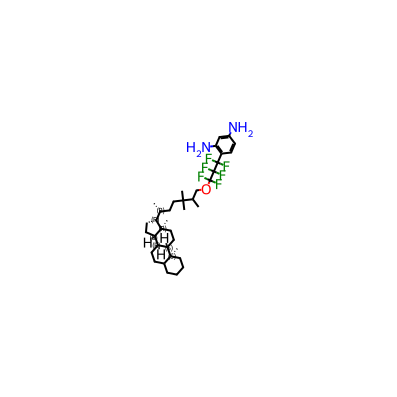 CC(COC(F)(F)C(F)(F)C(F)(F)c1ccc(N)cc1N)C(C)(C)CC[C@@H](C)[C@H]1CC[C@H]2[C@@H]3CCC4CCCC[C@]4(C)[C@H]3CC[C@]12C